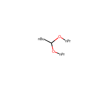 CCCCC(OCCC)OCCC